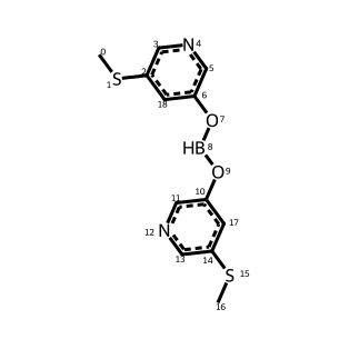 CSc1cncc(OBOc2cncc(SC)c2)c1